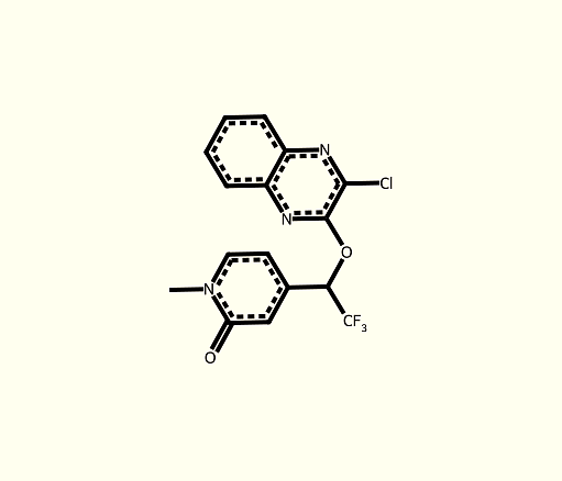 Cn1ccc(C(Oc2nc3ccccc3nc2Cl)C(F)(F)F)cc1=O